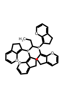 CCC(P(C1=C2OC=CC=C2CC1)C1=C2OC=CC=C2CC1)P(C1=C2OC=CC=C2CC1)C1=C2OC=CC=C2CC1